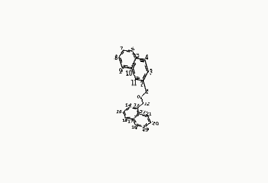 [CH](Cc1ccc2ccccc2c1)Cc1cccc2ccccc12